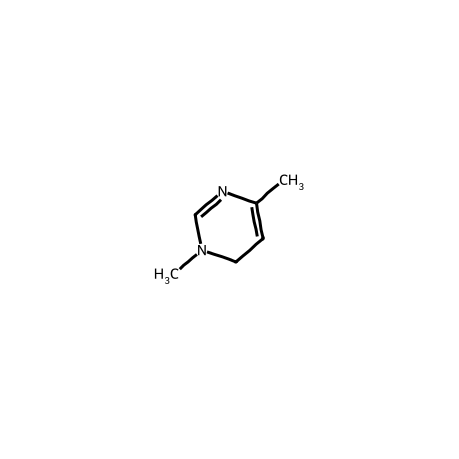 CC1=CCN(C)C=N1